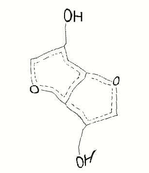 Oc1coc2c(O)coc12